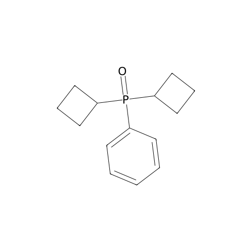 O=P(c1ccccc1)(C1CCC1)C1CCC1